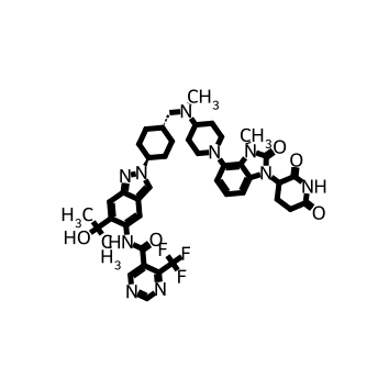 CN(C[C@H]1CC[C@H](n2cc3cc(NC(=O)c4cncnc4C(F)(F)F)c(C(C)(C)O)cc3n2)CC1)C1CCN(c2cccc3c2n(C)c(=O)n3C2CCC(=O)NC2=O)CC1